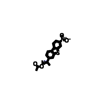 CC(=O)O/N=C(\C)c1ccc2c(c1)sc1cc([N+](=O)[O-])ccc12